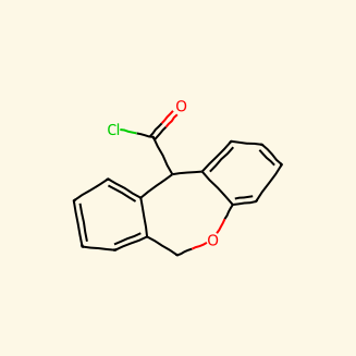 O=C(Cl)C1c2ccccc2COc2ccccc21